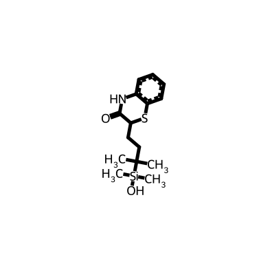 CC(C)(CCC1Sc2ccccc2NC1=O)[Si](C)(C)O